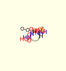 CO[C@@]1(c2ccc(-c3ccccc3)cc2)C[C@H]2C(=O)N[C@]3(C(=O)NS(=O)(=O)C4CC4)C[C@H]3C=CCCCCC[C@H](NC(=O)O)C(=O)N2C1